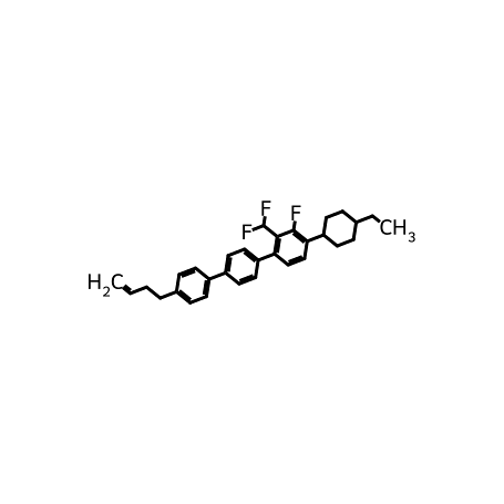 C=CCCc1ccc(-c2ccc(-c3ccc(C4CCC(CC)CC4)c(F)c3C(F)F)cc2)cc1